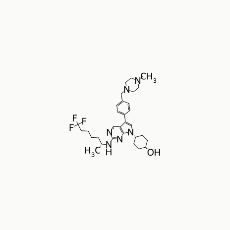 C[C@H](CCCCC(F)(F)F)Nc1ncc2c(-c3ccc(CN4CCN(C)CC4)cc3)cn([C@H]3CC[C@H](O)CC3)c2n1